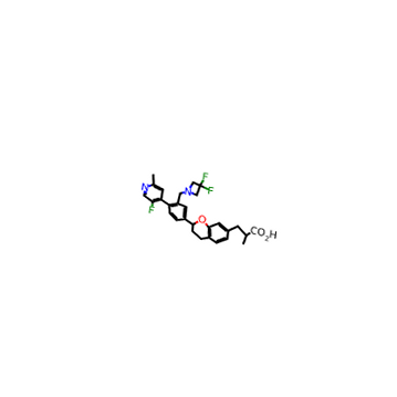 Cc1cc(-c2ccc(C3CCc4ccc(CC(C)C(=O)O)cc4O3)cc2CN2CC(F)(F)C2)c(F)cn1